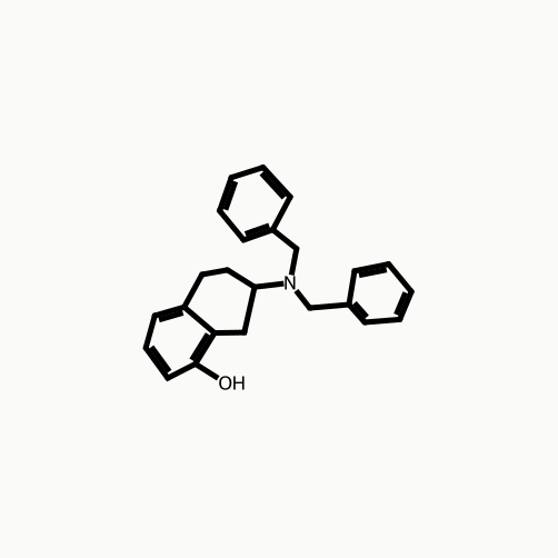 Oc1cccc2c1CC(N(Cc1ccccc1)Cc1ccccc1)CC2